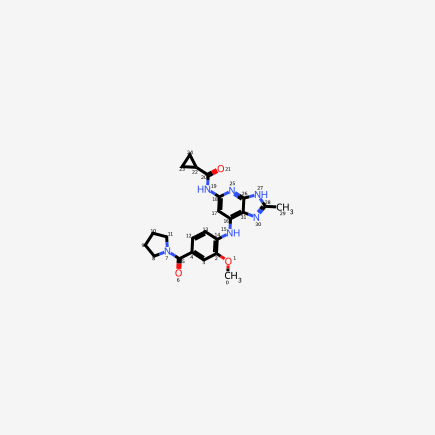 COc1cc(C(=O)N2CCCC2)ccc1Nc1cc(NC(=O)C2CC2)nc2[nH]c(C)nc12